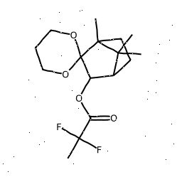 CC(F)(F)C(=O)OC1C2CCC(C)(C2(C)C)C12OCCCO2